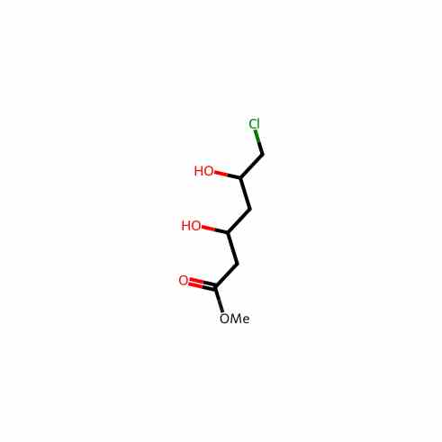 COC(=O)CC(O)CC(O)CCl